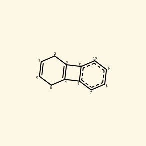 C1=CCC2=C(C1)c1ccccc12